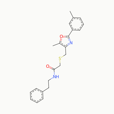 Cc1cccc(-c2nc(CSCC(=O)NCCc3ccccc3)c(C)o2)c1